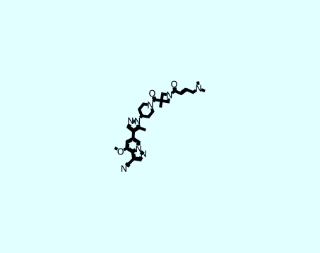 COc1cc(-c2cnn(C3CCN(C(=O)C4(C)CN(C(=O)/C=C/CN(C)C)C4)CC3)c2C)cn2ncc(C#N)c12